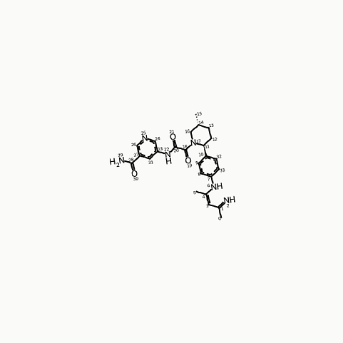 CC(=N)/C=C(/C)Nc1ccc([C@@H]2CC[C@@H](C)CN2C(=O)C(=O)Nc2cncc(C(N)=O)c2)cc1